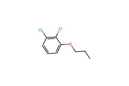 C[CH]COc1cccc(Cl)c1Cl